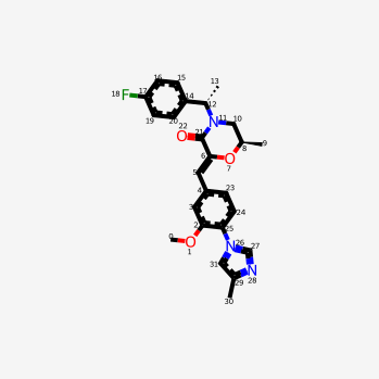 COc1cc(C=C2O[C@H](C)CN([C@@H](C)c3ccc(F)cc3)C2=O)ccc1-n1cnc(C)c1